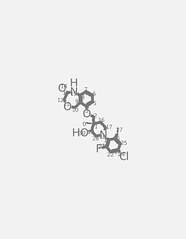 C[C@@]1(COc2cccc3c2COCC(=O)N3)CCN(c2c(F)cc(Cl)cc2I)C[C@H]1O